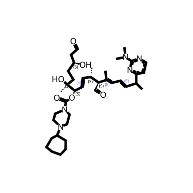 C/C(=C\C=C\C(C)c1ccnc(N(C)C)n1)[C@@H](C=O)[C@@H](C)/C=C/[C@H](OC(=O)N1CCN(C2CCCCCC2)CC1)[C@@](C)(O)CC[C@H](O)CC=O